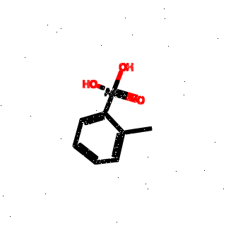 Cc1ccccc1[As](=O)(O)O